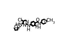 CN1CCC(NC(=O)c2ccc(Nc3ncc(Cl)c(NC[C@H]4CCCO4)n3)cc2F)CC1